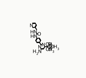 CC(C)(c1cc(N)nc(-c2ccc(NC(=O)NCc3cccnc3)cc2)n1)S(C)(=O)=O